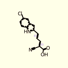 N#C/C(=C\C=C\c1cc2cc(Cl)ccc2[nH]1)C(=O)O